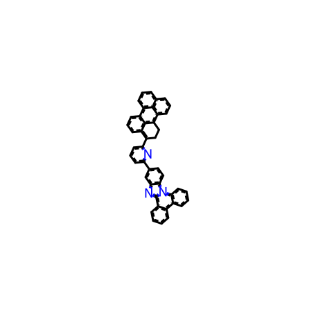 c1cc(C2=c3cccc4c3c(c3cccc5cccc4c53)CC2)nc(-c2ccc3c(c2)nc2c4ccccc4c4ccccc4n32)c1